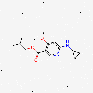 COc1cc(NC2CC2)ncc1C(=O)OCC(C)C